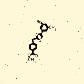 COC(=O)c1ccc(Cc2nc(-c3cc(C)cc(Br)c3)cs2)cc1